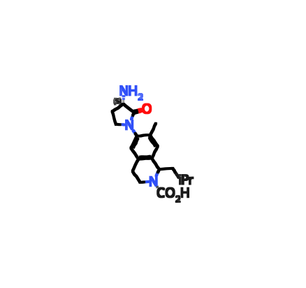 Cc1cc2c(cc1N1CC[C@H](N)C1=O)CCN(C(=O)O)C2CC(C)C